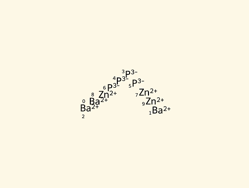 [Ba+2].[Ba+2].[Ba+2].[P-3].[P-3].[P-3].[P-3].[Zn+2].[Zn+2].[Zn+2]